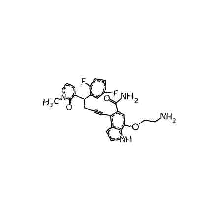 Cn1cccc(C(CC#Cc2c(C(N)=O)cc(OCCN)c3[nH]ccc23)c2cc(F)ccc2F)c1=O